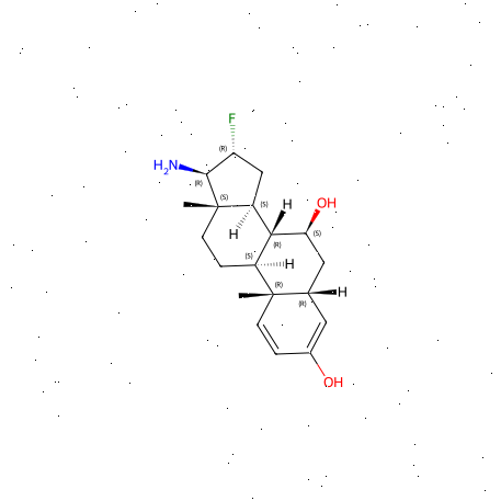 C[C@]12C=CC(O)=C[C@H]1C[C@H](O)[C@@H]1[C@@H]2CC[C@]2(C)[C@@H](N)[C@H](F)C[C@@H]12